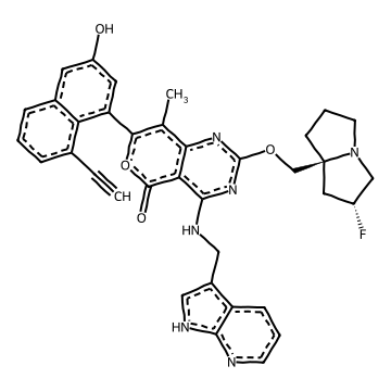 C#Cc1cccc2cc(O)cc(-c3oc(=O)c4c(NCc5c[nH]c6ncccc56)nc(OC[C@@]56CCCN5C[C@H](F)C6)nc4c3C)c12